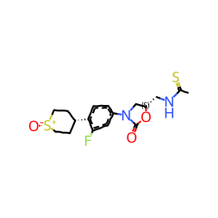 CC(=S)NC[C@H]1CN(c2ccc([C@H]3CC[S@@+]([O-])CC3)c(F)c2)C(=O)O1